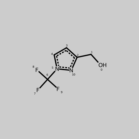 OCc1ccn(C(F)(F)F)n1